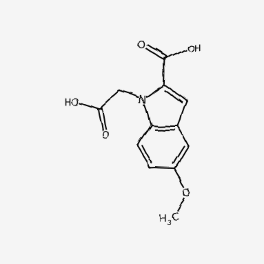 COc1ccc2c(c1)cc(C(=O)O)n2CC(=O)O